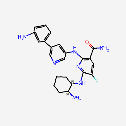 NC(=O)c1cc(F)c(N[C@@H]2CCCC[C@@H]2N)nc1Nc1cncc(-c2cccc(N)c2)c1